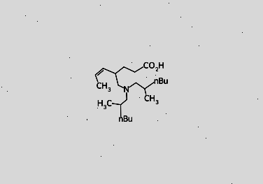 C/C=C\C(CCC(=O)O)CN(CC(C)CCCC)CC(C)CCCC